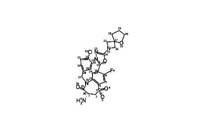 N[C@H]1CS(=O)(=O)c2cc(F)c(-c3nnc(N4CC5(CCCO5)C4)o3)cc2N(Cc2ccc(Cl)cc2)C1=O